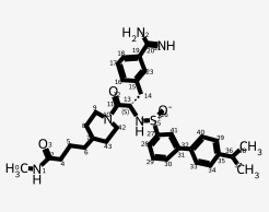 CNC(=O)CCCC1CCN(C(=O)[C@H](Cc2cccc(C(=N)N)c2)N[S+]([O-])c2cccc(-c3ccc(C(C)C)cc3)c2)CC1